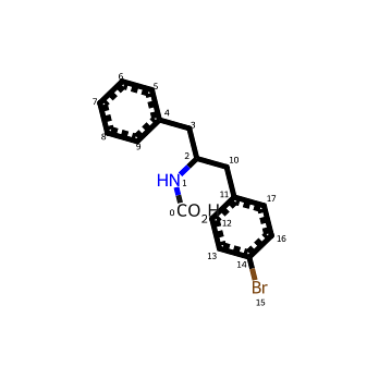 O=C(O)NC(Cc1ccccc1)Cc1ccc(Br)cc1